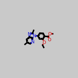 CCOc1cc(-n2c(C)nc3cc(C)cnc32)ccc1C(=O)OC